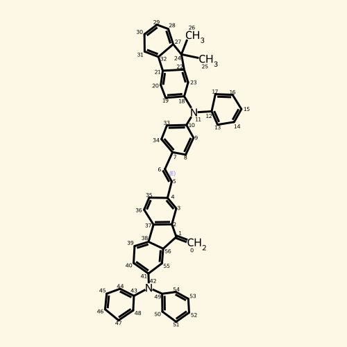 C=C1c2cc(/C=C/c3ccc(N(c4ccccc4)c4ccc5c(c4)C(C)(C)c4ccccc4-5)cc3)ccc2-c2ccc(N(c3ccccc3)c3ccccc3)cc21